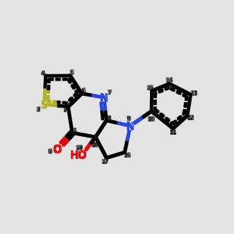 O=C1c2sccc2N=C2N(c3ccccc3)CCC12O